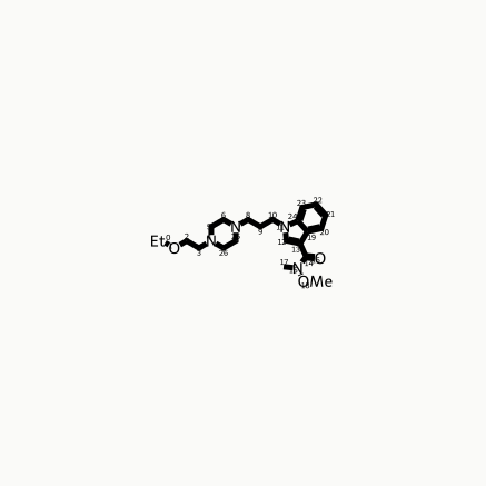 CCOCCN1CCN(CCCn2cc(C(=O)N(C)OC)c3ccccc32)CC1